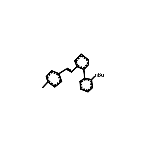 CCCCc1ccccc1-c1ccccc1C=Cc1ccc(C)cc1